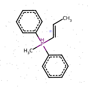 C/C=C/[PH](C)(c1ccccc1)c1ccccc1